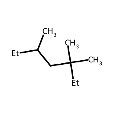 [CH2]CC(C)(C)CC(C)CC